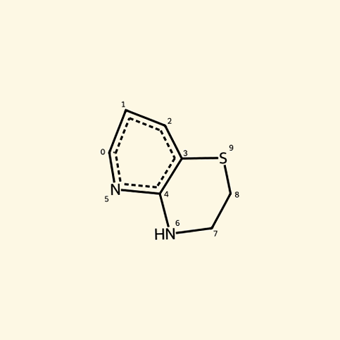 [c]1ccc2c(n1)NCCS2